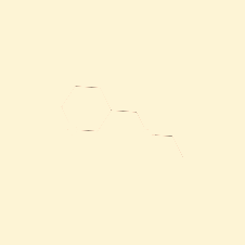 CCOCC1[C]OCCC1